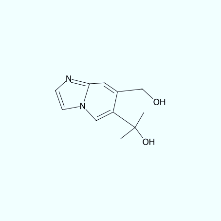 CC(C)(O)c1cn2ccnc2cc1CO